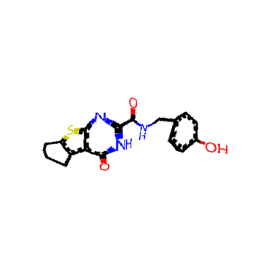 O=C(NCc1ccc(O)cc1)c1nc2sc3c(c2c(=O)[nH]1)CCC3